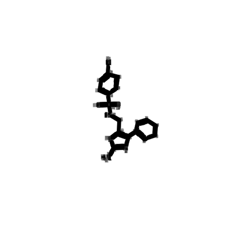 Nc1nc(-c2ccccc2)c(CNS(=O)(=O)c2ccc(Cl)cc2)s1